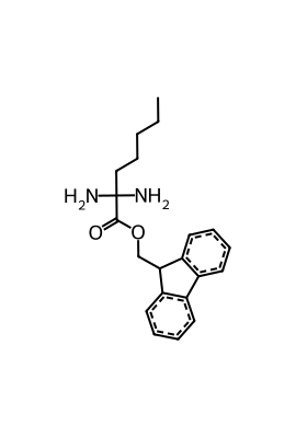 CCCCCC(N)(N)C(=O)OCC1c2ccccc2-c2ccccc21